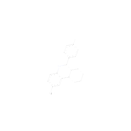 CC(=O)Nc1ccc2c(c1)C1CCCCC1C(c1ccc(C)cc1)N2